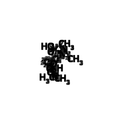 CCCc1nc2c(C)cc(C(=O)O)cc2n1Cc1ccc(-c2ccccc2S(=O)(=O)NC(=O)CN(C)C)cc1